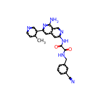 Cc1ccncc1-c1cc2cc(NC(=O)C(=O)NCc3cccc(C#N)c3)ncc2c(N)n1